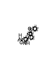 CNC(=O)n1ccc(N2CCCc3cc([S+]([O-])C4CCCCC4)cnc32)cc1=N